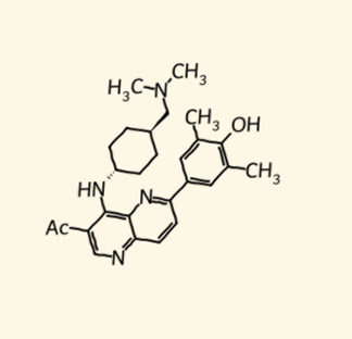 CC(=O)c1cnc2ccc(-c3cc(C)c(O)c(C)c3)nc2c1N[C@H]1CC[C@H](CN(C)C)CC1